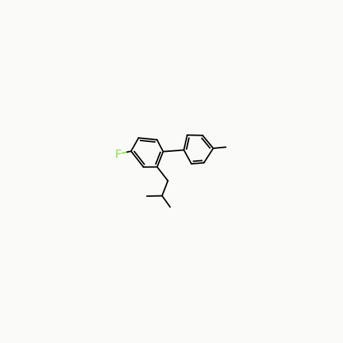 Cc1ccc(-c2ccc(F)cc2CC(C)C)cc1